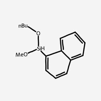 CCCCO[SiH](OC)c1cccc2ccccc12